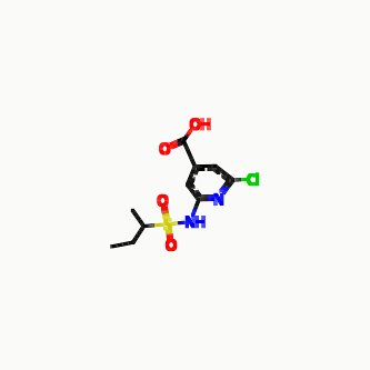 CCC(C)S(=O)(=O)Nc1cc(C(=O)O)cc(Cl)n1